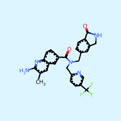 Cc1cc2cc(C(=O)N(Cc3ccc4c(c3)CNC4=O)Cc3ccc(C(F)(F)F)cn3)ccc2nc1N